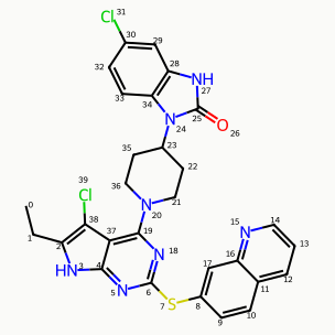 CCc1[nH]c2nc(Sc3ccc4cccnc4c3)nc(N3CCC(n4c(=O)[nH]c5cc(Cl)ccc54)CC3)c2c1Cl